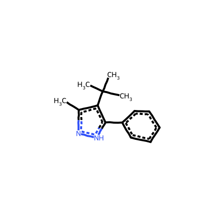 Cc1n[nH]c(-c2ccccc2)c1C(C)(C)C